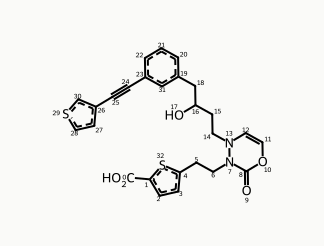 O=C(O)c1ccc(CCN2C(=O)OC=CN2CCC(O)Cc2cccc(C#Cc3ccsc3)c2)s1